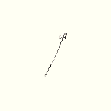 CCCCCCCCCCCCCCCCCCCCCC(=O)N(O)I